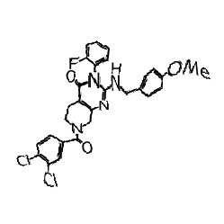 COc1ccc(CNc2nc3c(c(=O)n2-c2ccccc2F)CCN(C(=O)c2ccc(Cl)c(Cl)c2)C3)cc1